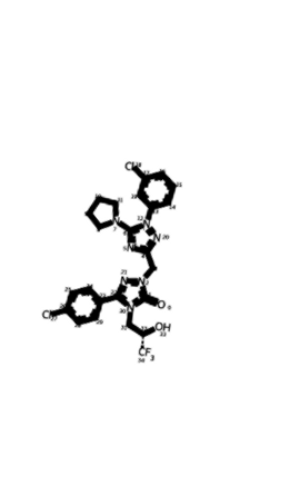 O=c1n(Cc2nc(N3CCCC3)n(-c3cccc(Cl)c3)n2)nc(-c2ccc(Cl)cc2)n1C[C@H](O)C(F)(F)F